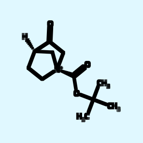 CC(C)(C)OC(=O)[N@@+]12CC[C@H](C1)C(=O)C2